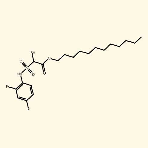 CCCCCCCCCCCCOC(=O)C(S)S(=O)(=O)Nc1ccc(F)cc1F